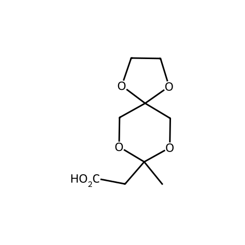 CC1(CC(=O)O)OCC2(CO1)OCCO2